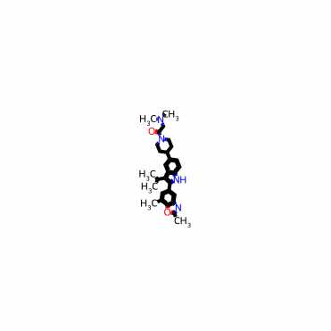 Cc1nc2cc(-c3[nH]c4ccc(C5CCN(C(=O)CN(C)C)CC5)cc4c3C(C)C)cc(C)c2o1